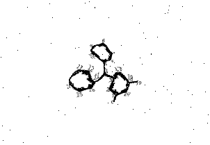 Cc1[c]c(C(c2ccccc2)c2ccccc2)cc(C)c1